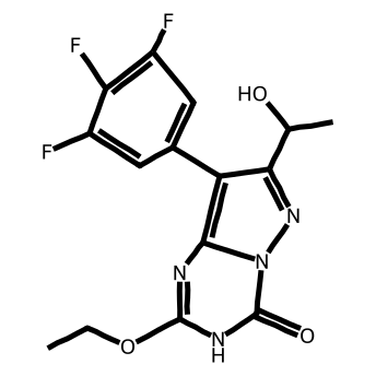 CCOc1nc2c(-c3cc(F)c(F)c(F)c3)c(C(C)O)nn2c(=O)[nH]1